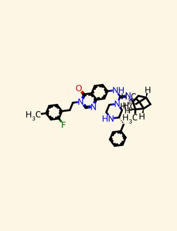 Cc1ccc(CCn2cnc3cc(N/C(=N/[C@H]4C[C@@H]5C[C@H]([C@@H]4C)C5(C)C)N4CCN[C@@H](Cc5ccccc5)C4)ccc3c2=O)c(F)c1